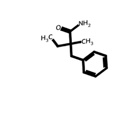 CCC(C)(Cc1ccccc1)C(N)=O